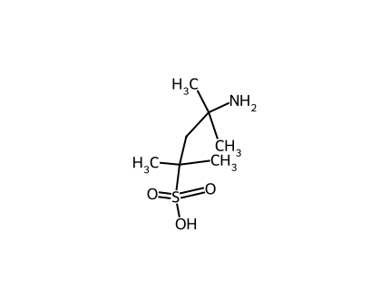 CC(C)(N)CC(C)(C)S(=O)(=O)O